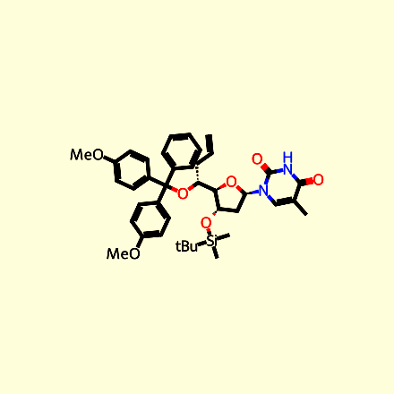 C=CC[C@@H](OC(c1ccccc1)(c1ccc(OC)cc1)c1ccc(OC)cc1)[C@H]1O[C@@H](n2cc(C)c(=O)[nH]c2=O)C[C@@H]1O[Si](C)(C)C(C)(C)C